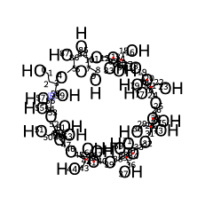 OCCC1OC2OC(CO)C(OC3OC(CO)C(OC4OC(CO)C(OC5OC(CO)C(OC6OC(CO)C(OC7OC(CO)C(OC8OC(CO)C(OC(O)/C(O)=C/1O)C(O)C8O)C(O)C7O)C(O)C6O)C(O)C5O)C(O)C4O)C(O)C3O)C(O)C2O